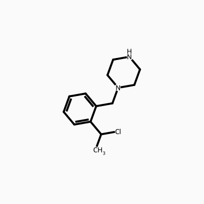 CC(Cl)c1ccccc1CN1CCNCC1